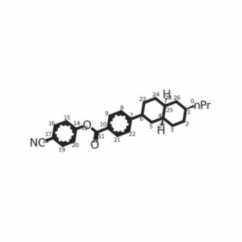 CCC[C@H]1CC[C@@H]2CC(c3ccc(C(=O)Oc4ccc(C#N)cc4)cc3)CC[C@H]2C1